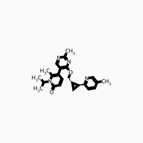 Cc1ccc([C@H]2C[C@@H]2COc2nc(C)ncc2-c2ccc(=O)n(C(C)C)c2C)nc1